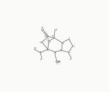 CC1CCC2C1C(O)C1(C(C)C)CC(=O)C2(C)O1